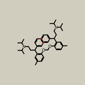 Cc1ccc(OCOc2ccc(C)cc2C(CCN(C(C)C)C(C)C)c2ccccc2)c(C(CCN(C(C)C)C(C)C)c2ccccc2)c1